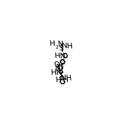 N=C(N)SCC[C@@H]1CCC[C@@H](c2ccc(-n3cc4cc([C@@H]5C[C@H]6CCCC[C@@H]6N5)[nH]c4nc3=O)cc2)N1